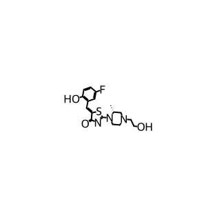 C[C@@H]1CN(CCO)CCN1C1=NC(=O)C(=Cc2cc(F)ccc2O)S1